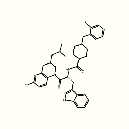 CN(C)C[C@@H]1Cc2cc(Cl)ccc2N(C(=O)[C@@H](Cc2c[nH]c3ccccc23)NC(=O)N2CCC(Cc3ccccc3F)CC2)C1